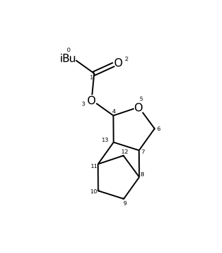 CCC(C)C(=O)OC1OCC2C3CCC(C3)C12